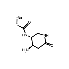 CC(C)(C)OC(=O)N[C@@H]1CNC(=O)C[C@H]1N